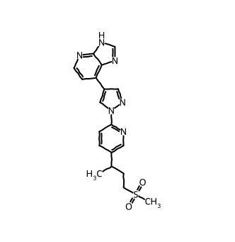 CC(CCS(C)(=O)=O)c1ccc(-n2cc(-c3ccnc4[nH]cnc34)cn2)nc1